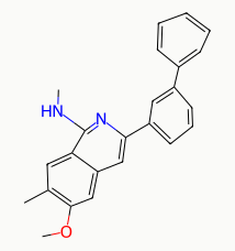 CNc1nc(-c2cccc(-c3ccccc3)c2)cc2cc(OC)c(C)cc12